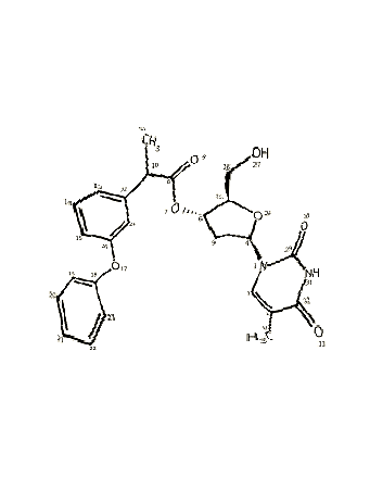 Cc1cn([C@H]2C[C@H](OC(=O)C(C)c3cccc(Oc4ccccc4)c3)[C@@H](CO)O2)c(=O)[nH]c1=O